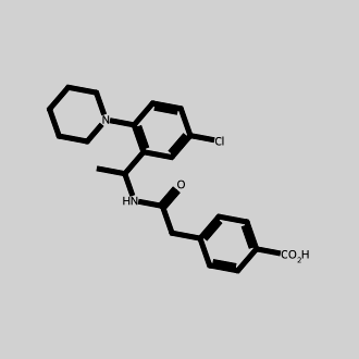 CC(NC(=O)Cc1ccc(C(=O)O)cc1)c1cc(Cl)ccc1N1CCCCC1